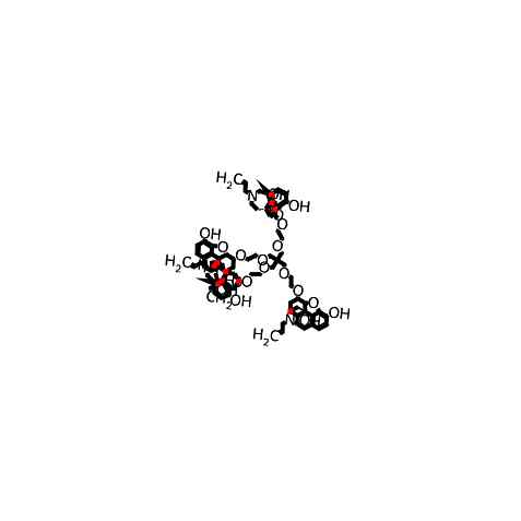 C=CCN1CC[C@]23c4c5ccc(O)c4O[C@H]2C(OCCOCC(COCCOC2CC[C@@]4(O)C6Cc7ccc(O)c8c7[C@@]4(CCN6CC=C)C2O8)(COCCOC2CC[C@@]4(O)C6Cc7ccc(O)c8c7[C@@]4(CCN6CC=C)C2O8)COCCOC2CC[C@@]4(O)C6Cc7ccc(O)c8c7[C@@]4(CCN(CC=C)C6)[C@H]2O8)CC[C@@]3(O)C(C5)C1